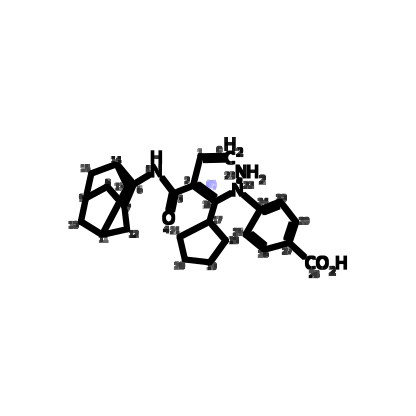 C=C/C(C(=O)NC1C2CC3CC(C2)CC1C3)=C(/C1CCCC1)N(N)c1ccc(C(=O)O)cc1